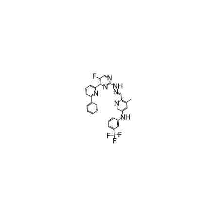 Cc1cc(Nc2cccc(C(F)(F)F)c2)cnc1/C=N/Nc1ncc(F)c(-c2cccc(-c3ccccc3)n2)n1